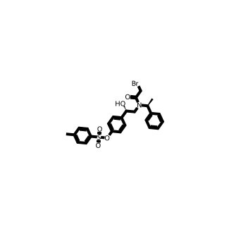 Cc1ccc(S(=O)(=O)Oc2ccc([C@H](O)CN(C(=O)CBr)[C@@H](C)c3ccccc3)cc2)cc1